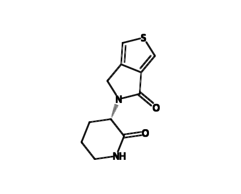 O=C1NCCC[C@@H]1N1Cc2cscc2C1=O